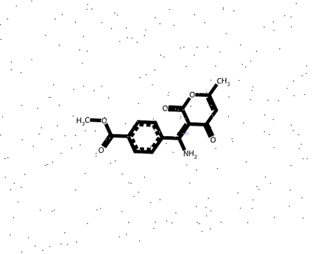 COC(=O)c1ccc(/C(N)=C2/C(=O)C=C(C)OC2=O)cc1